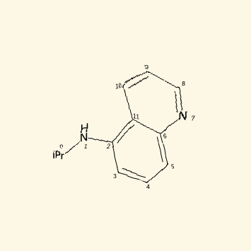 CC(C)Nc1cccc2ncccc12